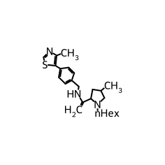 C=C(NCc1ccc(-c2scnc2C)cc1)C1CC(C)CN1CCCCCC